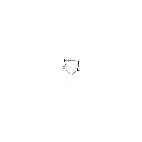 CC1N=CNO1